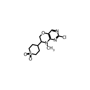 CN1c2nc(Cl)ncc2OCC1C1CCS(=O)(=O)CC1